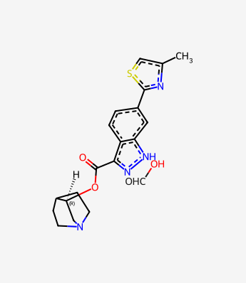 Cc1csc(-c2ccc3c(C(=O)O[C@H]4CN5CCC4CC5)n[nH]c3c2)n1.O=CO